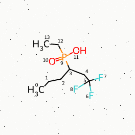 CCCC(CC(F)(F)F)P(=O)(O)CC